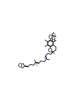 C/C(=C\CC/C(C)=C/CC[C@]1(C)CCc2c(C)c(O[SiH](C)C)c(C)c(C)c2O1)CCC=C1COC1